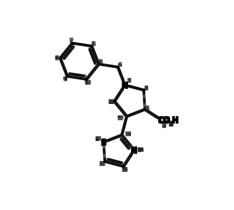 O=C(O)C1CN(Cc2ccccc2)CC1c1nccs1